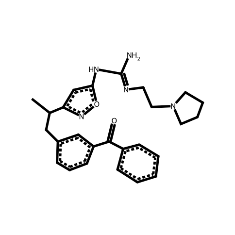 CC(Cc1cccc(C(=O)c2ccccc2)c1)c1cc(NC(N)=NCCN2CCCC2)on1